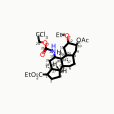 CCOC(=O)C1CC[C@H]2[C@@H]3CCC4CC(OC(C)=O)C(OCC)C[C@]4(C)[C@@H]3C(NC(=O)OCC(Cl)(Cl)Cl)C[C@]12C